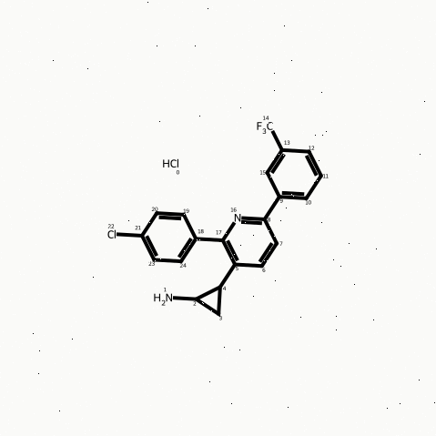 Cl.NC1CC1c1ccc(-c2cccc(C(F)(F)F)c2)nc1-c1ccc(Cl)cc1